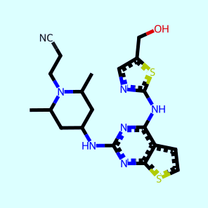 CC1CC(Nc2nc(Nc3ncc(CO)s3)c3ccsc3n2)CC(C)N1CCC#N